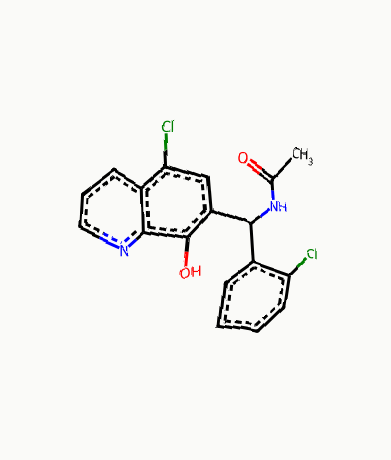 CC(=O)NC(c1ccccc1Cl)c1cc(Cl)c2cccnc2c1O